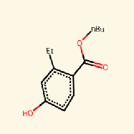 CCCCOC(=O)c1ccc(O)cc1CC